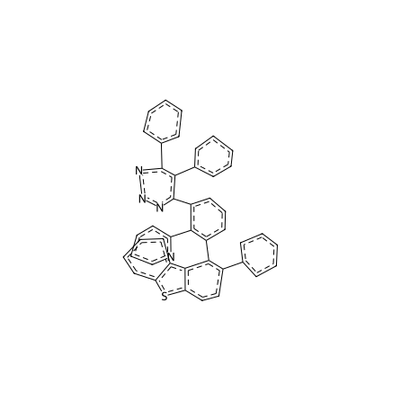 c1ccc(-c2ccc3sc4ccccc4c3c2-c2cccc(-c3nnnc(-c4ccccc4)c3-c3ccccc3)c2-c2ccccn2)cc1